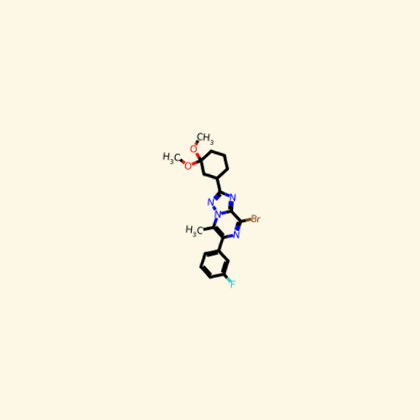 COC1(OC)CCCC(c2nc3c(Br)nc(-c4cccc(F)c4)c(C)n3n2)C1